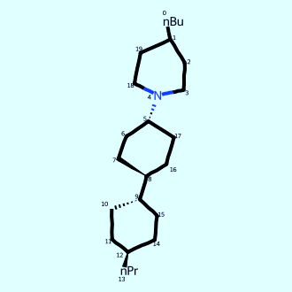 CCCCC1CCN([C@H]2CC[C@H]([C@H]3CC[C@H](CCC)CC3)CC2)CC1